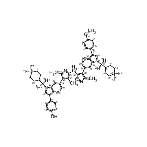 [2H]C([2H])(C1CCC(F)(F)CC1)n1cc(-c2ccc(O)nc2)c2ncc(-c3c(C)noc3C)cc21.[2H]C([2H])(C1CCC(F)(F)CC1)n1cc(-c2ccc(OC)nc2)c2ncc(-c3c(C)noc3C)cc21